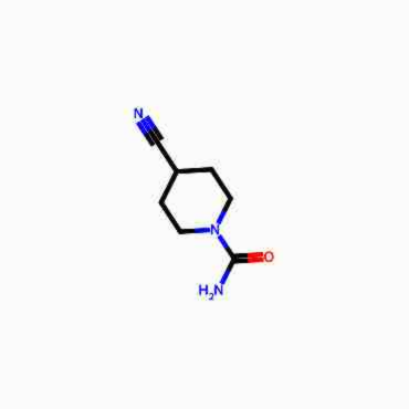 N#C[C]1CCN(C(N)=O)CC1